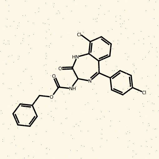 O=C(NC1N=C(c2ccc(Cl)cc2)c2cccc(Cl)c2NC1=O)OCc1ccccc1